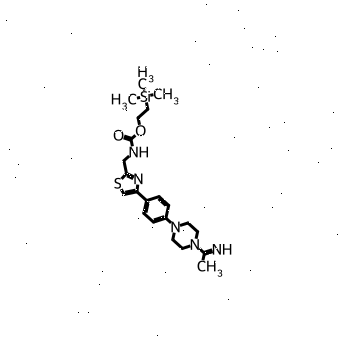 CC(=N)N1CCN(c2ccc(-c3csc(CNC(=O)OCC[Si](C)(C)C)n3)cc2)CC1